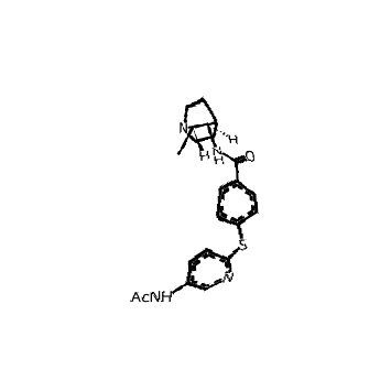 CC(=O)Nc1ccc(Sc2ccc(C(=O)N[C@@H]3C4CCN(CC4)[C@H]3C)cc2)nc1